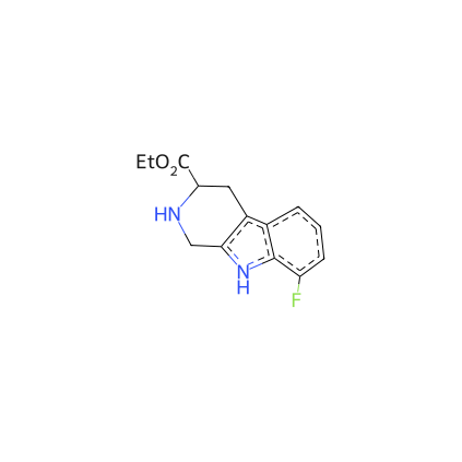 CCOC(=O)C1Cc2c([nH]c3c(F)cccc23)CN1